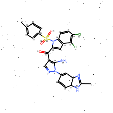 CC1=NC2C=C(n3ncc(C(=O)c4cc5c(Cl)c(Cl)ccc5n4S(=O)(=O)c4ccc(C)cc4)c3N)C=CC2N1